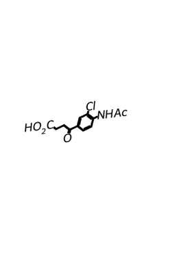 CC(=O)Nc1ccc(C(=O)CCC(=O)O)cc1Cl